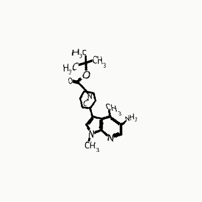 Cc1c(N)cnc2c1c(C1CC3CCC1CN3C(=O)OC(C)(C)C)cn2C